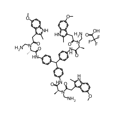 COc1ccc2[nH]c(C)c(CC(=O)N(CN)[C@@H](C)C(=O)Nc3ccc(C(c4ccc(NC(=O)[C@H](C)N(CN)C(=O)Cc5c(C)[nH]c6ccc(OC)cc56)cc4)c4ccc(NC(=O)[C@H](C)N(CN)C(=O)Cc5c(C)[nH]c6ccc(OC)cc56)cc4)cc3)c2c1.O=C(O)C(F)(F)F